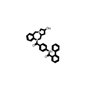 O=C(Nc1ccc(C(=O)N2CC3CC(O)CN3Cc3ccccc32)cc1)c1ccccc1-c1ccccc1